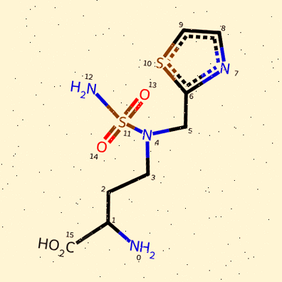 NC(CCN(Cc1nccs1)S(N)(=O)=O)C(=O)O